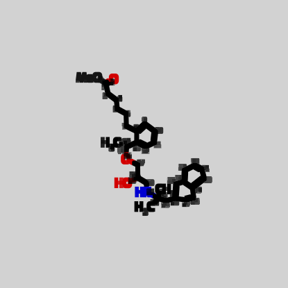 COC(=O)CCCCCc1ccccc1[C@@H](C)OC[C@H](O)CNC(C)(C)Cc1ccc2ccccc2c1